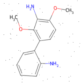 COc1ccc(-c2ccccc2N)c(OC)c1N